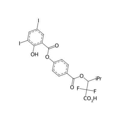 CC(C)C(OC(=O)c1ccc(OC(=O)c2cc(I)cc(I)c2O)cc1)C(F)(F)C(=O)O